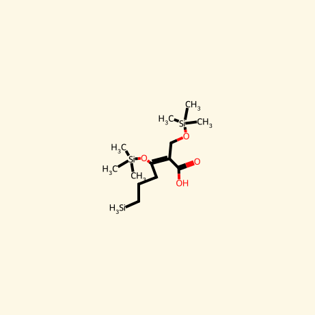 C[Si](C)(C)OCC(C(=O)O)=C(CCC[SiH3])O[Si](C)(C)C